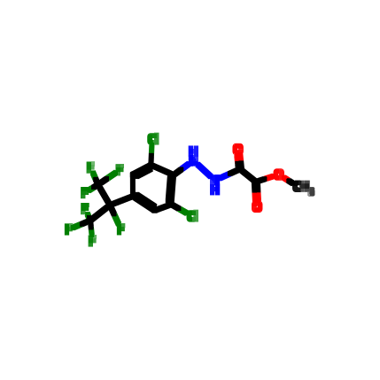 COC(=O)C(=O)NNc1c(Cl)cc(C(F)(C(F)(F)F)C(F)(F)F)cc1Cl